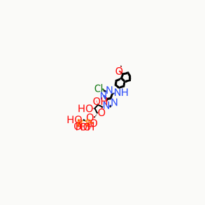 COc1cccc2cc(Nc3nc(Cl)nc4c3ncn4[C@@H]3O[C@H](COP(=O)(O)CP(=O)(O)O)[C@H](O)[C@@H]3O)ccc12